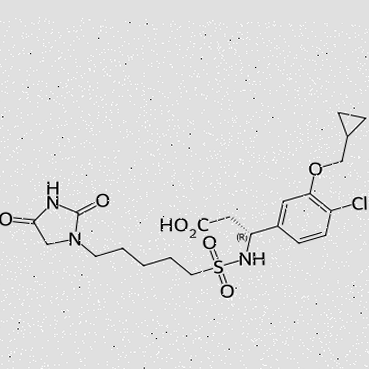 O=C(O)C[C@@H](NS(=O)(=O)CCCCCN1CC(=O)NC1=O)c1ccc(Cl)c(OCC2CC2)c1